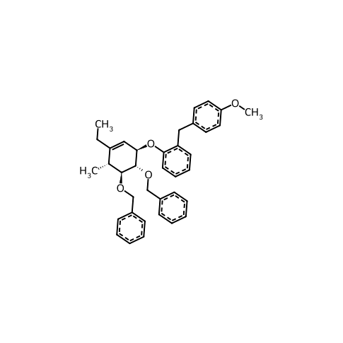 CCC1=C[C@@H](Oc2ccccc2Cc2ccc(OC)cc2)[C@H](OCc2ccccc2)[C@@H](OCc2ccccc2)[C@@H]1C